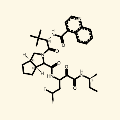 CC[C@H](C)NC(=O)C(=O)C(CC(F)F)NC(=O)C1[C@H]2CCC[C@H]2CN1C(=O)[C@@H](NC(=O)c1ccnc2ccccc12)C(C)(C)C